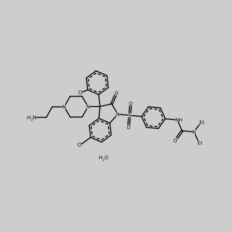 CCN(CC)C(=O)Nc1ccc(S(=O)(=O)N2C(=O)C(c3ccccc3Cl)(N3CCN(CCN)CC3)c3cc(Cl)ccc32)cc1.O